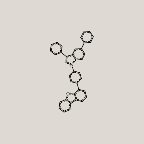 c1ccc(-c2ccc3c(c2)c(-c2ccccc2)cn3-c2ccc(-c3cccc4c3oc3ccccc34)cc2)cc1